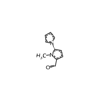 Cn1c(C=O)ccc1-n1cccc1